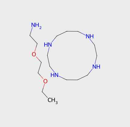 C1CNCCNCCCNCCNC1.CCOCCOCCN